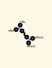 CCCCCc1ccc(N(c2ccc(CCCCC)cc2)c2ccc(CCc3ccc(N(c4ccc(CCCC)cc4)c4ccc(CCCC)cc4)cc3)cc2)cc1